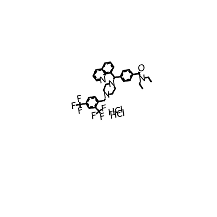 CCN(CC)C(=O)c1ccc(C(c2cccc3cccnc23)N2CCN(Cc3ccc(C(F)(F)F)cc3C(F)(F)F)CC2)cc1.Cl.Cl